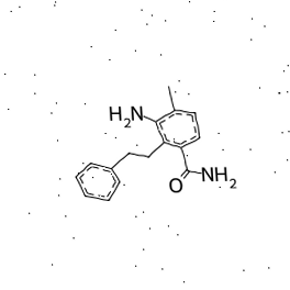 Cc1ccc(C(N)=O)c(CCc2ccccc2)c1N